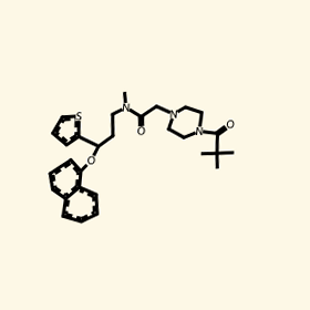 CN(CCC(Oc1cccc2ccccc12)c1cccs1)C(=O)CN1CCN(C(=O)C(C)(C)C)CC1